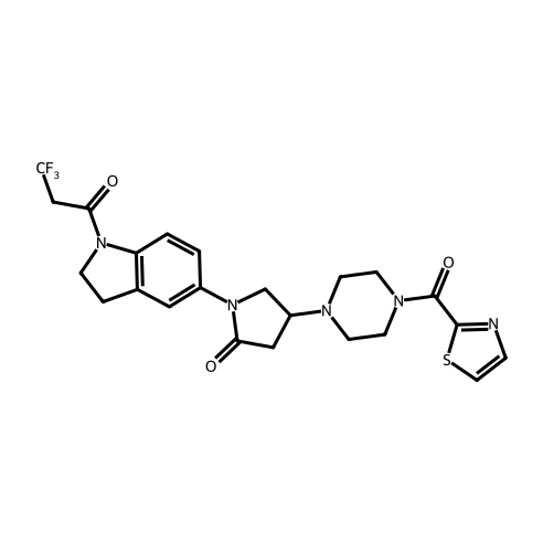 O=C(c1nccs1)N1CCN(C2CC(=O)N(c3ccc4c(c3)CCN4C(=O)CC(F)(F)F)C2)CC1